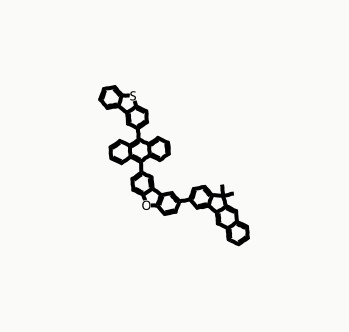 CC1(C)c2ccc(-c3ccc4oc5ccc(-c6c7ccccc7c(-c7ccc8sc9ccccc9c8c7)c7ccccc67)cc5c4c3)cc2-c2cc3ccccc3cc21